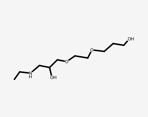 CCNCC(O)COCCOCCCO